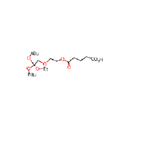 CCCCOC(COCCOC(=O)CCCC(=O)O)(OCC)OCCCC